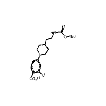 CC(C)(C)OC(=O)NCCC1CCN(c2ccc(C(=O)O)c(Cl)c2)CC1